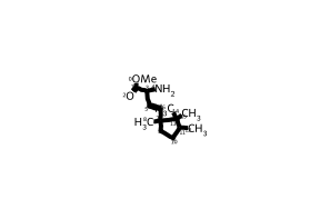 COC(=O)C(N)C=CC1(C)CCC(C)C1(C)C